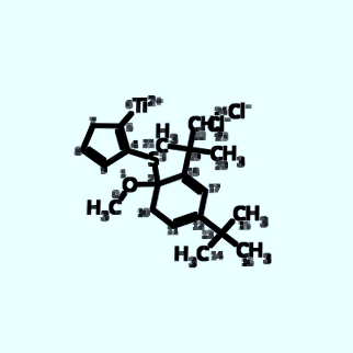 COC1(SC2=[C]([Ti+2])CC=C2)CC=C(C(C)(C)C)C=C1C(C)(C)C.[Cl-].[Cl-]